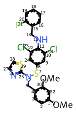 COc1ccc(CN(Sc2cc(Cl)c(NCc3ccccc3F)c(Cl)c2)c2nccs2)c(OC)c1